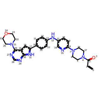 C=CC(=O)N1CCN(c2ccc(Nc3ccc(-c4cc5c(N6CCOCC6)ncnc5[nH]4)cc3)cn2)CC1